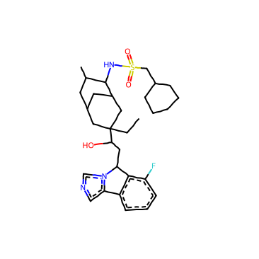 CCC1(C(O)CC2c3c(F)cccc3-c3cncn32)CC2CC(C)C(NS(=O)(=O)CC3CCCCC3)C(C2)C1